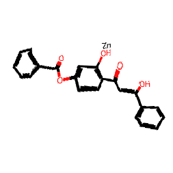 O=C(Oc1ccc(C(=O)C=C(O)c2ccccc2)c(O)c1)c1ccccc1.[Zn]